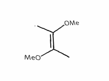 [CH2]C(OC)=C(C)OC